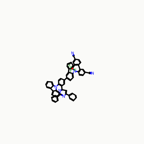 N#Cc1ccc(-n2c3ccccc3c3cc(-c4ccc(-n5c6ccccc6c6ccccc65)c(-c5cc(-c6ccccc6)nc(-c6ccccc6)n5)c4)ccc32)c(-c2ccc(C#N)cc2C(F)(F)F)c1